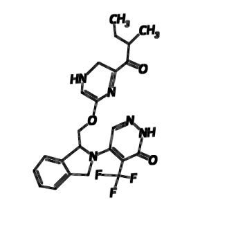 CCC(C)C(=O)C1=NC(OCC2c3ccccc3CN2c2cn[nH]c(=O)c2C(F)(F)F)=CNC1